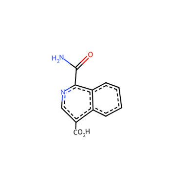 NC(=O)c1ncc(C(=O)O)c2ccccc12